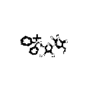 CC(C)(C)[Si](OC[C@@H]1O[C@H](n2cc(CF)c(=O)[nH]c2=O)C(Cl)C1O)(c1ccccc1)c1ccccc1